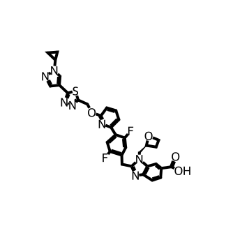 O=C(O)c1ccc2nc(Cc3cc(F)c(-c4cccc(OCc5nnc(-c6cnn(C7CC7)c6)s5)n4)cc3F)n(C[C@@H]3CCO3)c2c1